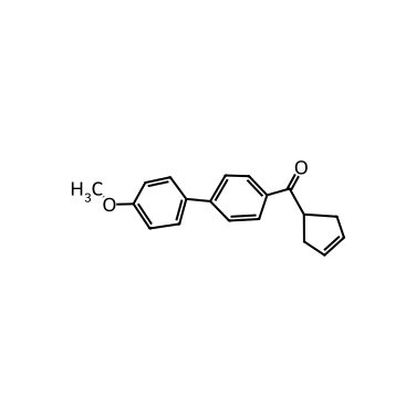 COc1ccc(-c2ccc(C(=O)C3CC=CC3)cc2)cc1